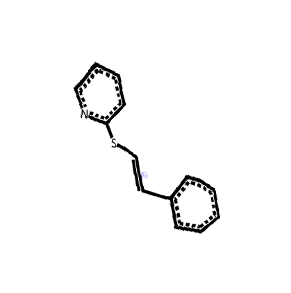 C(=C\c1ccccc1)/Sc1ccccn1